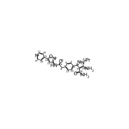 CC(C)n1nc(-c2ccc(CC(=O)Nc3cc(-c4ccncc4)on3)cc2)c(C(N)=O)c1N